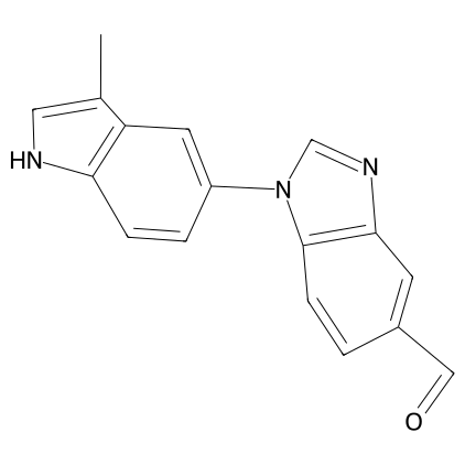 Cc1c[nH]c2ccc(-n3cnc4cc(C=O)ccc43)cc12